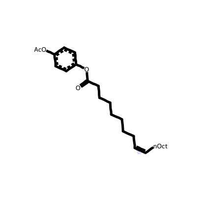 CCCCCCCC/C=C\CCCCCCCC(=O)Oc1ccc(OC(C)=O)cc1